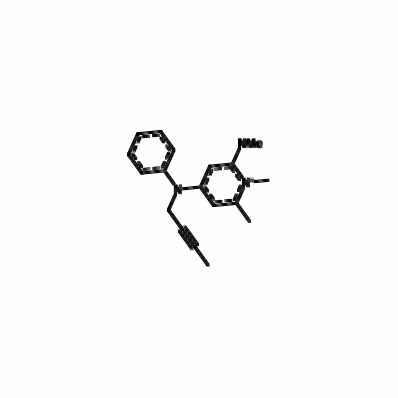 CC#CCN(c1ccccc1)c1cc(C)[n+](C)c(NC)c1